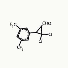 O=CC1C(c2cc(C(F)(F)F)cc(C(F)(F)F)c2)C1(Cl)Cl